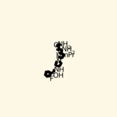 CCCc1cc(N2CCC(NCC(O)c3ccccc3F)CC2)nc2sc(C(N)=O)c(N)c12